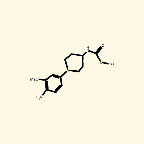 COc1cc(N2CCC(NC(=O)OC(C)(C)C)CC2)ccc1N